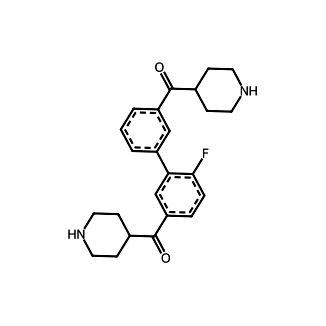 O=C(c1cccc(-c2cc(C(=O)C3CCNCC3)ccc2F)c1)C1CCNCC1